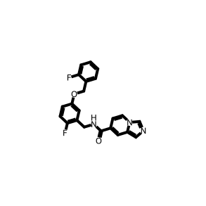 O=C(NCc1cc(OCc2ccccc2F)ccc1F)c1ccn2cncc2c1